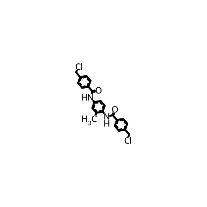 Cc1cc(NC(=O)c2ccc(CCl)cc2)ccc1NC(=O)c1ccc(CCl)cc1